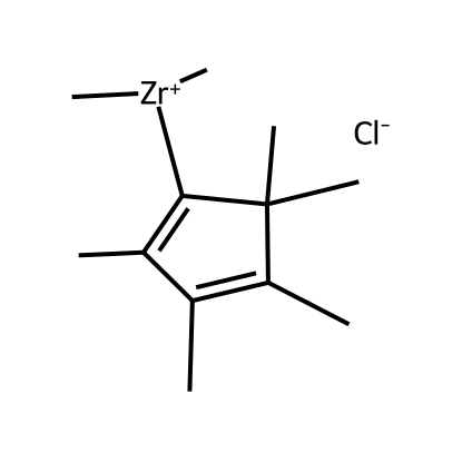 CC1=C(C)C(C)(C)[C]([Zr+]([CH3])[CH3])=C1C.[Cl-]